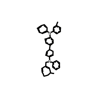 Cc1cccc(N(C2=CC=C=CC=C2)c2ccc(C3C=CC(N(CC4=CC(C)CCC=C4)c4ccccc4)=CC3)cc2)c1